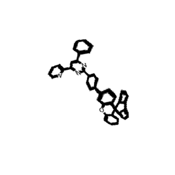 c1ccc(-c2cc(-c3ccccn3)nc(-c3ccc(-c4ccc5c(c4)Oc4ccccc4C54c5ccccc5-c5ccccc54)cc3)n2)cc1